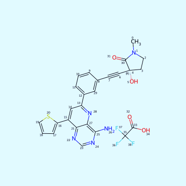 CN1CC[C@@](O)(C#Cc2cccc(-c3cc(-c4cccs4)c4ncnc(N)c4n3)c2)C1=O.O=C(O)C(F)(F)F